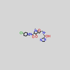 CN(Cc1cc2c(=O)c(C(=O)NCc3ccc(Cl)cc3)cn(C)c2o1)CC(O)c1cnccn1